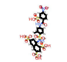 Cc1cc(NC(=O)c2ccc([N+](=O)[O-])cc2S(=O)(=O)O)ccc1S(=O)(=O)Nc1cc(S(=O)(=O)O)cc2cc(S(=O)(=O)O)cc(S(=O)(=O)O)c12